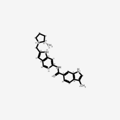 Cc1c[nH]c2cc(C(=O)Nc3cc4[nH]c(CN5CCC[C@@H]5C)cc4cn3)ccc12